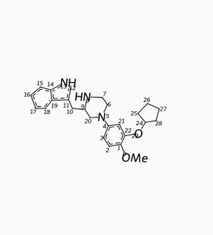 COc1ccc(N2CCNC(Cc3c[nH]c4ccccc34)C2)cc1OC1CCCC1